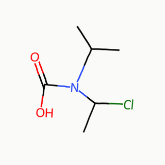 CC(C)N(C(=O)O)C(C)Cl